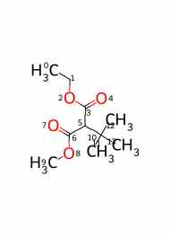 CCOC(=O)C(C(=O)OC)C(C)(C)C